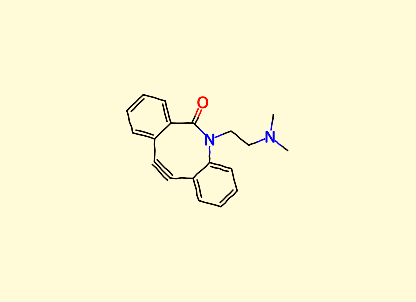 CN(C)CCN1C(=O)c2ccccc2C#Cc2ccccc21